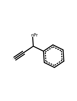 [C]#CC(CCC)c1ccccc1